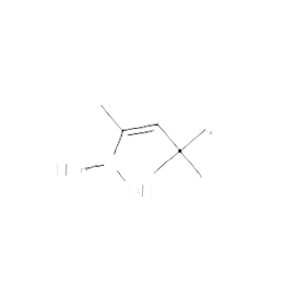 C/C(=C/C(C)(C)C)P(O)O